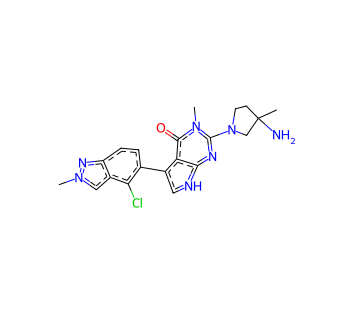 Cn1cc2c(Cl)c(-c3c[nH]c4nc(N5CCC(C)(N)C5)n(C)c(=O)c34)ccc2n1